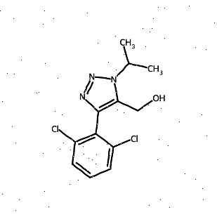 CC(C)n1nnc(-c2c(Cl)cccc2Cl)c1CO